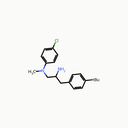 CN(CC(N)Cc1ccc(C(C)(C)C)cc1)c1ccc(Cl)cc1